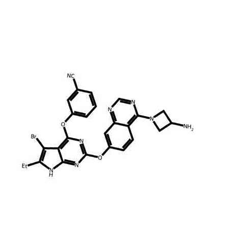 CCc1[nH]c2nc(Oc3ccc4c(N5CC(N)C5)ncnc4c3)nc(Oc3cccc(C#N)c3)c2c1Br